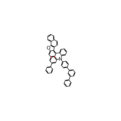 c1ccc(-c2cccc(-c3ccc(N(c4cccc(-c5ccccc5)c4)c4ccccc4-c4cccc5oc6c7ccccc7ccc6c45)cc3)c2)cc1